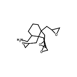 NCC1CCCC(CC2CO2)(CC2CO2)C1(CC1CO1)CC1CO1